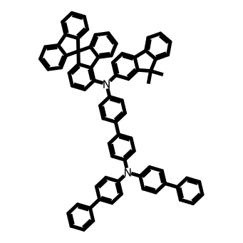 CC1(C)c2ccccc2-c2ccc(N(c3ccc(-c4ccc(N(c5ccc(-c6ccccc6)cc5)c5ccc(-c6ccccc6)cc5)cc4)cc3)c3cccc4c3-c3ccccc3C43c4ccccc4-c4ccccc43)cc21